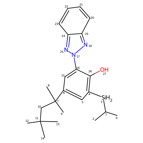 CC(C)[SiH2]c1cc(C(C)(C)CC(C)(C)C)cc(-n2nc3ccccc3n2)c1O